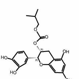 CC(C)COC(=O)O[C@@H]1Cc2c(O)cc(O)cc2O[C@@H]1c1ccc(O)c(O)c1